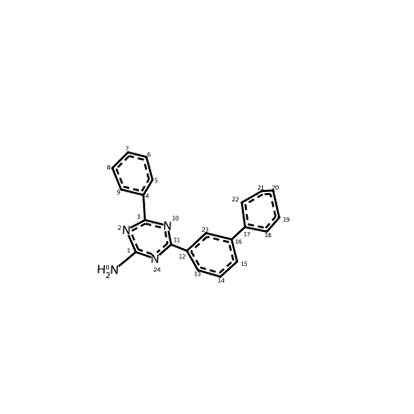 Nc1nc(-c2ccccc2)nc(-c2cccc(-c3ccccc3)c2)n1